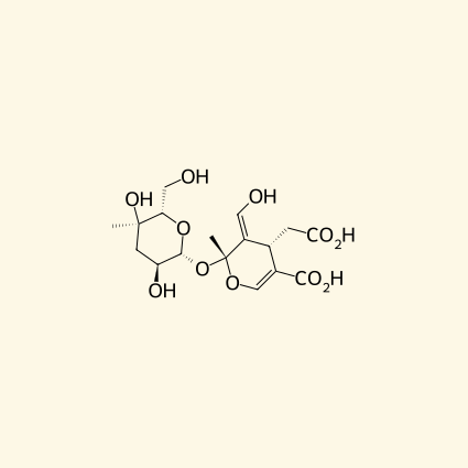 C[C@]1(O[C@H]2O[C@@H](CO)[C@](C)(O)C[C@@H]2O)OC=C(C(=O)O)[C@@H](CC(=O)O)/C1=C\O